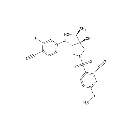 COc1ccc(S(=O)(=O)N2C[C@H](Oc3ccc(C#N)c(F)c3)[C@](O)([C@H](C)O)C2)c(C#N)c1